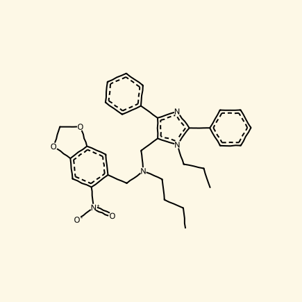 CCCCN(Cc1cc2c(cc1[N+](=O)[O-])OCO2)Cc1c(-c2ccccc2)nc(-c2ccccc2)n1CCC